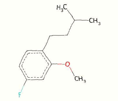 COc1cc(F)ccc1CCC(C)C